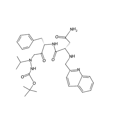 CC(C)N(CC(=O)[C@H](Cc1ccccc1)NC(=O)[C@H](CC(N)=O)NCc1ccc2ccccc2n1)NC(=O)OC(C)(C)C